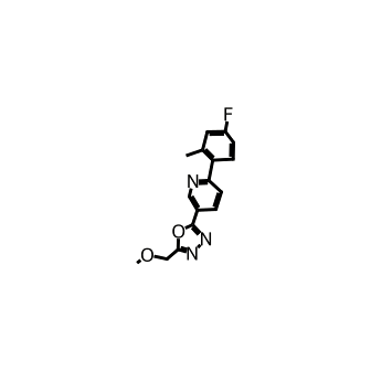 COCc1nnc(-c2ccc(-c3ccc(F)cc3C)nc2)o1